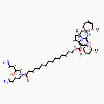 CC[C@H]1C=CCC[C@@]2(C[C@@H]3CC[C@@H]4[C@H](C(=O)OCCCCCCCCCCCCCCC(=O)N(CCCN)CC(O)CCN)[C@]5(CCC[C@@H](C)O5)N=C(N2)N34)O1